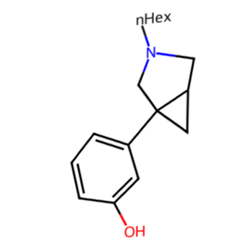 CCCCCCN1CC2CC2(c2cccc(O)c2)C1